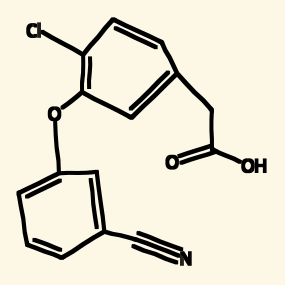 N#Cc1cccc(Oc2cc(CC(=O)O)ccc2Cl)c1